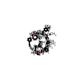 CCO[C@@H]1C[C@H]2C(=O)NC3(CC(C)(C)C3)C(=O)N(C)[C@@H](C3CCCC3)C(=O)N(C)[C@H](C(=O)N3CCCC3)CC(=O)N(C)[C@H]3CCC/C=C/c4ccc(cc4)C[C@@H](C(=O)N(C)CC(=O)N[C@@H](CCc4cc(F)c(C(F)(F)F)c(F)c4)C(=O)N2C1)N1CC/C=C\C[C@@H](C1=O)N(C)C(=O)CN(C)C(=O)[C@H]([C@@H](C)CC)NC3=O